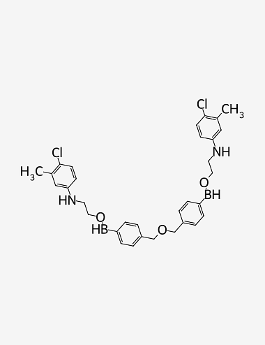 Cc1cc(NCCOBc2ccc(COCc3ccc(BOCCNc4ccc(Cl)c(C)c4)cc3)cc2)ccc1Cl